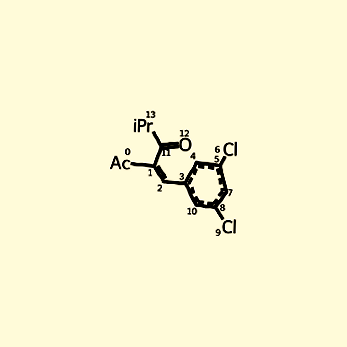 CC(=O)C(=Cc1cc(Cl)cc(Cl)c1)C(=O)C(C)C